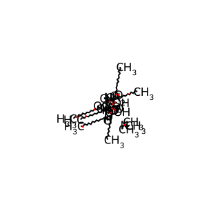 CCCCCCCCCCCCCC(=O)O[C@H](CCCCCCCCCCC)CC(=O)N[C@@H](COC1O[C@H](CO)[C@@H](OP(=O)(O)O)[C@H](OC(=O)C[C@@H](CCCCCCCCCCC)OC(=O)CCCCCCCCCCCCC)[C@H]1NC(=O)C[C@@H](CCCCCCCCCCC)OC(=O)CCCCCCCCCCCCC)C(N)=O.CCN(CC)CC